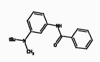 CN(c1cccc(NC(=O)c2ccccc2)c1)C(C)(C)C